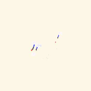 C.C.C.C.C.C.N=C=N.N=C=O.N=C=O